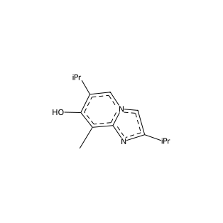 Cc1c(O)c(C(C)C)cn2cc(C(C)C)nc12